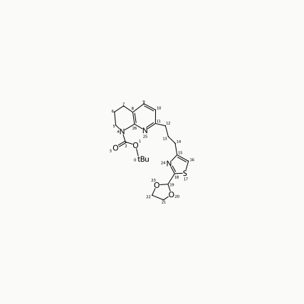 CC(C)(C)OC(=O)N1CCCc2ccc(CCCc3csc(C4OCCO4)n3)nc21